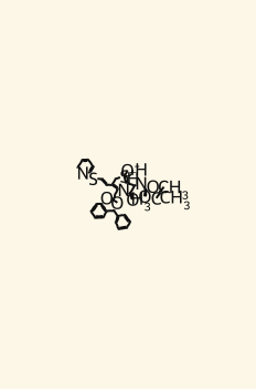 CC(C)(C)OC(=O)NC1C(=O)N2C(C(=O)OC(c3ccccc3)c3ccccc3)=C(/C=C/Sc3ccccn3)C[S+]([O-])[C@H]12